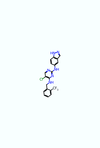 FC(F)(F)c1ccccc1CNc1nc(Nc2ccc3[nH]ncc3c2)ncc1Cl